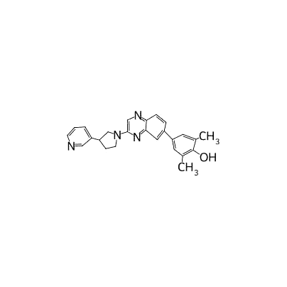 Cc1cc(-c2ccc3ncc(N4CCC(c5cccnc5)C4)nc3c2)cc(C)c1O